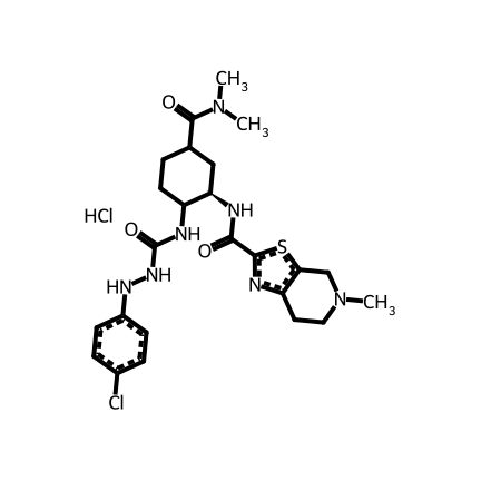 CN1CCc2nc(C(=O)N[C@@H]3CC(C(=O)N(C)C)CCC3NC(=O)NNc3ccc(Cl)cc3)sc2C1.Cl